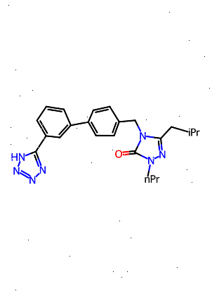 CCCn1nc(CC(C)C)n(Cc2ccc(-c3cccc(-c4nnn[nH]4)c3)cc2)c1=O